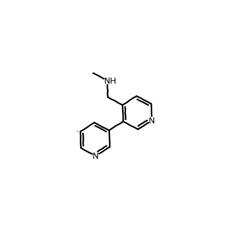 CNCc1ccncc1-c1c[c]cnc1